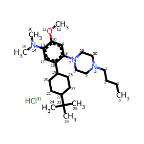 CCCCN1CCN(c2cc(OC)c(N(C)C)cc2C2CCC(C(C)(C)C)CC2)CC1.Cl